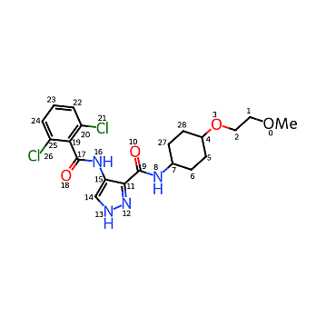 COCCOC1CCC(NC(=O)c2n[nH]cc2NC(=O)c2c(Cl)cccc2Cl)CC1